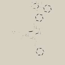 COC(C)N1C=C2C(=NC(C)N2Cc2ccc(-c3ccccc3-c3nnn[nH]3)cc2)N(CCc2ccccc2)C1